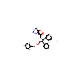 O=C(OCC1OC(c2coc3c(Cl)ncnc23)C(c2ccccc2C(=O)O)C1c1ccccc1C(=O)O)c1ccccc1